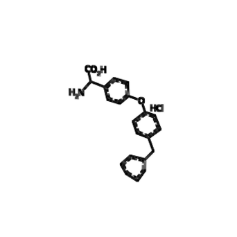 Cl.NC(C(=O)O)c1ccc(Oc2ccc(Cc3ccccc3)cc2)cc1